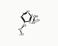 CCO.CCOCC.O.c1ccncc1